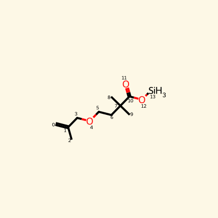 C=C(C)COCCC(C)(C)C(=O)O[SiH3]